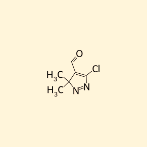 CC1(C)N=NC(Cl)=C1C=O